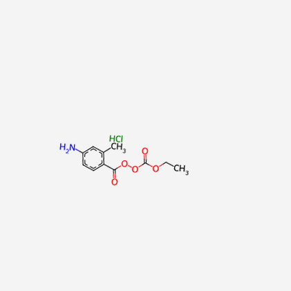 CCOC(=O)OOC(=O)c1ccc(N)cc1C.Cl